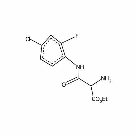 CCOC(=O)C(N)C(=O)Nc1ccc(Cl)cc1F